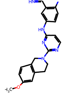 COc1ccc2c(c1)CCN(c1nccc(Nc3ccc(N)c(C=N)c3)n1)C2